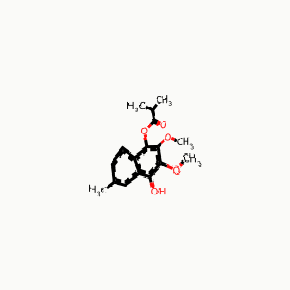 COc1c(OC)c(OC(=O)C(C)C)c2ccc(C)cc2c1O